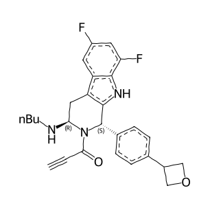 C#CC(=O)N1[C@@H](c2ccc(C3COC3)cc2)c2[nH]c3c(F)cc(F)cc3c2C[C@@H]1NCCCC